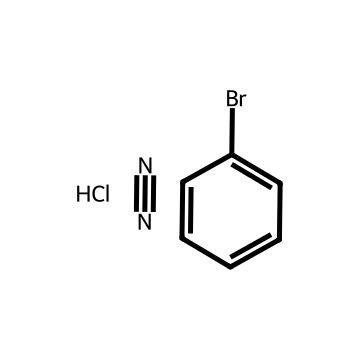 Brc1ccccc1.Cl.N#N